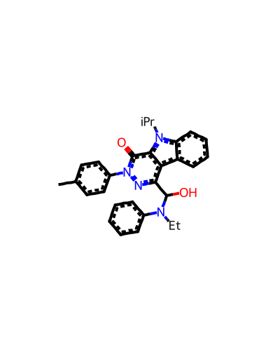 CCN(c1ccccc1)C(O)c1nn(-c2ccc(C)cc2)c(=O)c2c1c1ccccc1n2C(C)C